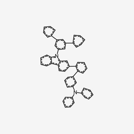 c1ccc(-c2cc(-c3ccccc3)cc(-n3c4ccccc4c4ccc(-c5ccccc5-c5cccc(N(c6ccccc6)c6ccccc6)c5)cc43)c2)cc1